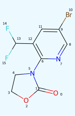 O=C1OCCN1c1ncc(Br)cc1C(F)F